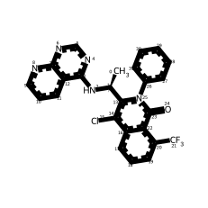 C[C@H](Nc1ncnc2ncccc12)c1c(Cl)c2cccc(C(F)(F)F)c2c(=O)n1-c1ccccc1